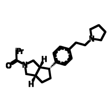 CC(C)C(=O)N1C[C@H]2CC[C@@H](c3ccc(CCN4CCCC4)cc3)[C@H]2C1